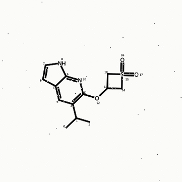 CC(C)c1cc2cc[nH]c2nc1OC1CS(=O)(=O)C1